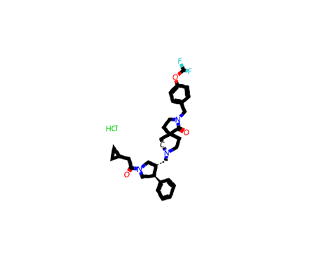 Cl.O=C(CC1CC1)N1C[C@H](CN2CCC3(CC2)CCN(Cc2ccc(OC(F)F)cc2)C3=O)[C@@H](c2ccccc2)C1